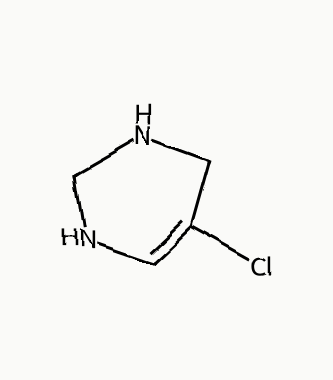 ClC1=CNCNC1